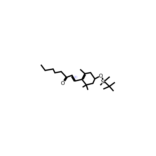 CCCCCC(=O)/C=C/C1=C(C)CC(O[Si](C)(C)C(C)(C)C)CC1(C)C